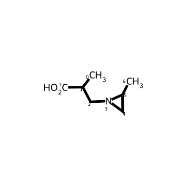 CC(CN1CC1C)C(=O)O